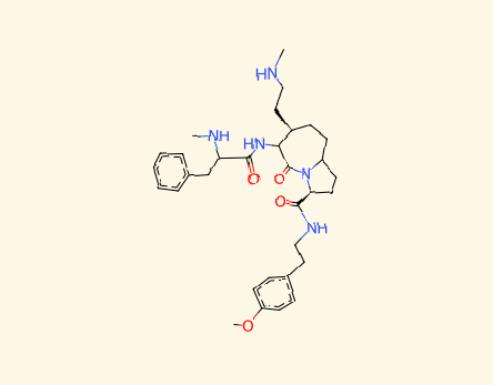 CNCC[C@H]1CCC2CC[C@@H](C(=O)NCCc3ccc(OC)cc3)N2C(=O)C1NC(=O)C(Cc1ccccc1)NC